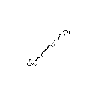 COCCCOCCCOCCCCO